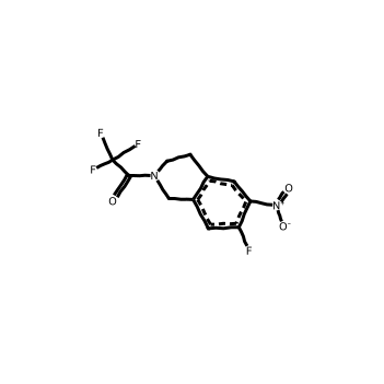 O=C(N1CCc2cc([N+](=O)[O-])c(F)cc2C1)C(F)(F)F